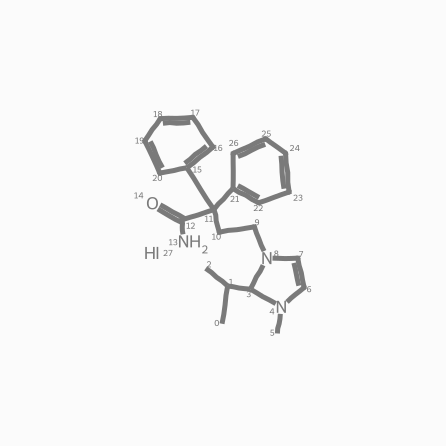 CC(C)C1N(C)C=CN1CCC(C(N)=O)(c1ccccc1)c1ccccc1.I